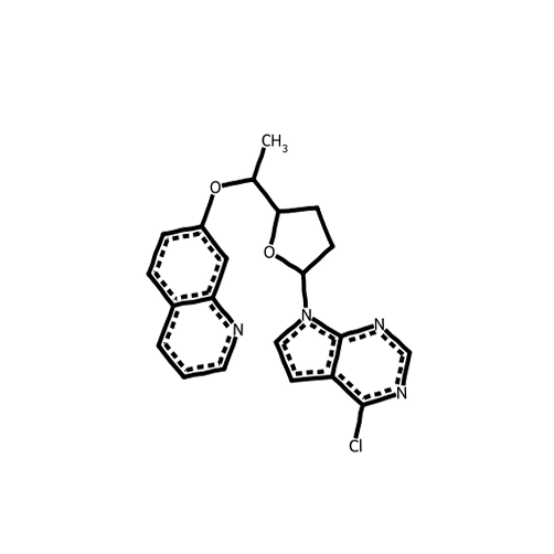 CC(Oc1ccc2cccnc2c1)C1CCC(n2ccc3c(Cl)ncnc32)O1